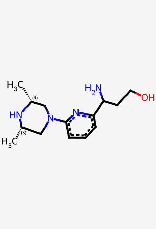 C[C@@H]1CN(c2cccc(C(N)CCO)n2)C[C@H](C)N1